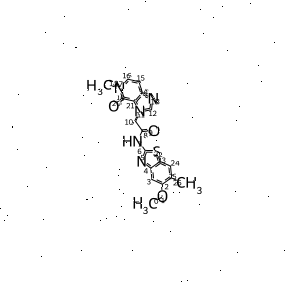 COc1cc2nc(NC(=O)Cn3cnc4ccn(C)c(=O)c43)sc2cc1C